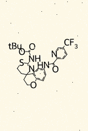 CC(C)(C)OC(=O)NC1=NC2(CCOc3ccc(NC(=O)c4ccc(C(F)(F)F)cn4)cc32)CCS1